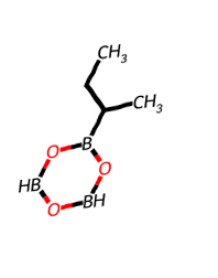 CCC(C)B1OBOBO1